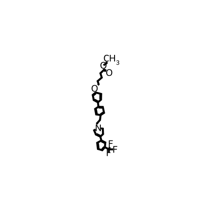 CCOC(=O)CCCCOc1ccc(-c2ccc(CCN3CC=C(c4cccc(C(F)(F)F)c4)CC3)cc2)cc1